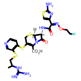 CC(CSc1cnccc1SC1=C(C(=O)O)N2C(=O)[C@@H](NC(=O)/C(=N\OCCF)c3csc(N)n3)[C@@H]2SC1)NC(=N)N